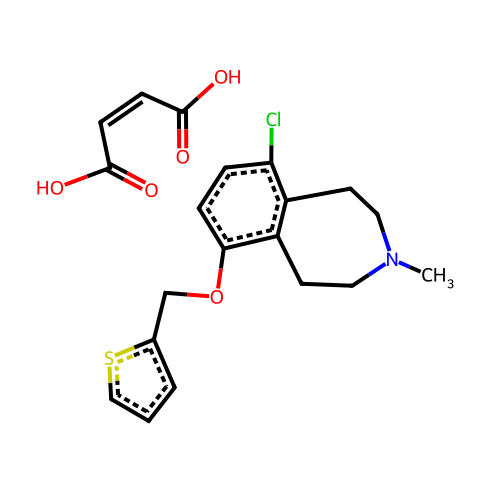 CN1CCc2c(Cl)ccc(OCc3cccs3)c2CC1.O=C(O)/C=C\C(=O)O